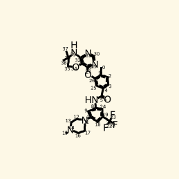 Cc1ccc(C(=O)Nc2cc(N3CCN(C)CC3)cc(C(F)(F)F)c2)cc1Oc1ncnc2c1OCC(C)(C)N2